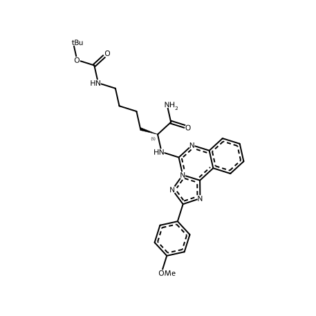 COc1ccc(-c2nc3c4ccccc4nc(N[C@@H](CCCCNC(=O)OC(C)(C)C)C(N)=O)n3n2)cc1